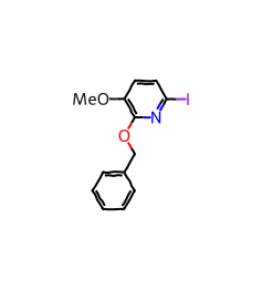 COc1ccc(I)nc1OCc1ccccc1